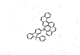 CC1(c2ccccc2)c2ccccc2-c2ccc(N(c3ccc4c(ccc5ccccc54)c3)c3cccc4ccc5ccccc5c34)cc21